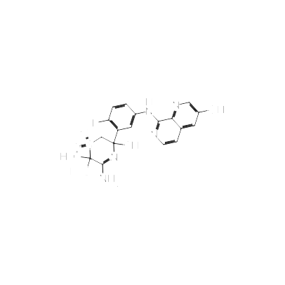 CC1(c2cc(Nc3nccc4cc(O)cnc34)ccc2F)CS(=O)(=O)C(C)(C)C(N)=N1